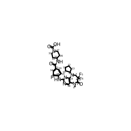 CN1C(=O)C(F)(F)CN(C2CCCC2)c2nc(Nc3ccc(C(=O)NC4CCN(C(=O)O)CC4)cc3F)ncc21